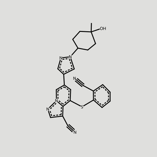 CC1(O)CCC(n2cc(-c3cc(Sc4ccccc4C#N)c4c(C#N)cnn4c3)cn2)CC1